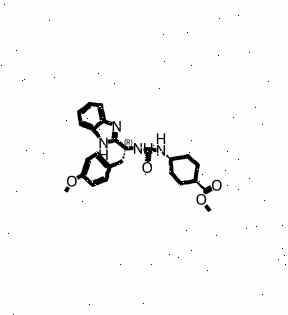 COc1ccc(C[C@@H](NC(=O)N[C@H]2CC[C@H](C(=O)OC)CC2)c2nc3ccccc3[nH]2)cc1